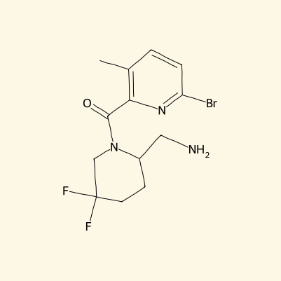 Cc1ccc(Br)nc1C(=O)N1CC(F)(F)CCC1CN